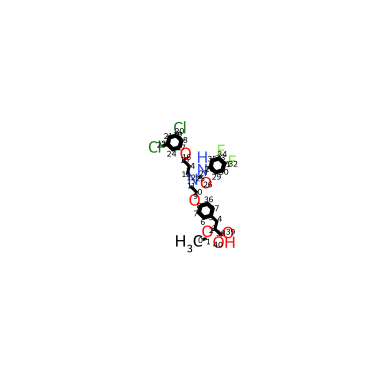 CCOC(Cc1ccc(OCCN(CCCOc2cc(Cl)cc(Cl)c2)C(=O)Nc2ccc(F)c(F)c2)cc1)C(=O)O